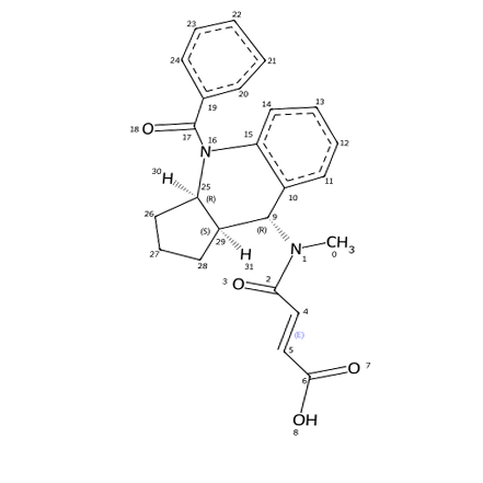 CN(C(=O)/C=C/C(=O)O)[C@H]1c2ccccc2N(C(=O)c2ccccc2)[C@@H]2CCC[C@@H]21